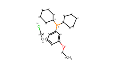 CCOc1cccc(P(C2CCCCC2)C2CCCCC2)c1.[CH3][Pd][Cl]